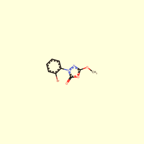 COc1nn(-c2ccccc2Br)c(=O)o1